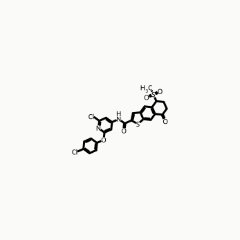 CS(=O)(=O)C1CCC(=O)c2cc3sc(C(=O)Nc4cc(Cl)nc(Oc5ccc(Cl)cc5)c4)cc3cc21